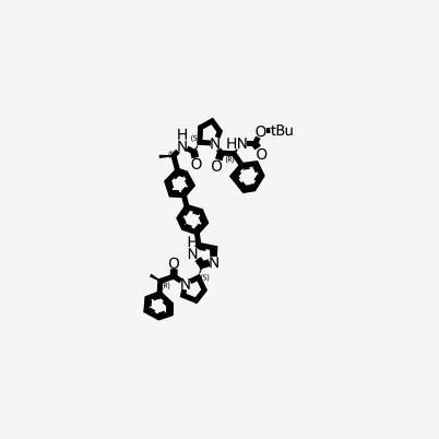 C[C@@H](NC(=O)[C@@H]1CCCN1C(=O)[C@H](NC(=O)OC(C)(C)C)c1ccccc1)c1ccc(-c2ccc(-c3cnc([C@@H]4CCCN4C(=O)[C@H](C)c4ccccc4)[nH]3)cc2)cc1